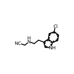 N#CCNCCc1c[nH]c2ccc(Cl)cc12